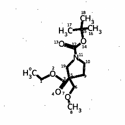 CCOC(=O)C1(COC)CCN(C(=O)OC(C)(C)C)C1